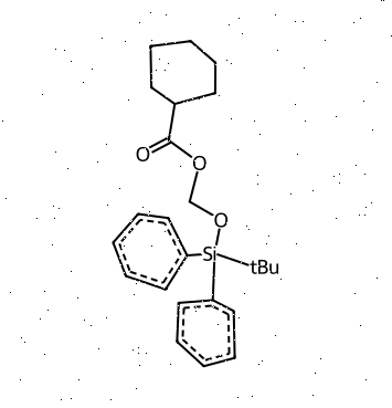 CC(C)(C)[Si](OCOC(=O)C1CCCCC1)(c1ccccc1)c1ccccc1